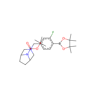 CC(C)(C)OC(=O)N1C2CCC1CN(Cc1ccc(B3OC(C)(C)C(C)(C)O3)c(F)c1)C2